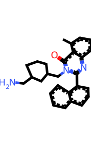 Cc1cccc2nc(-c3cccc4ccccc34)n(CC3CCCC(CN)C3)c(=O)c12